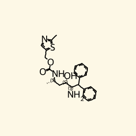 Cc1ncc(COC(=O)N[C@@H](C)C[C@H](O)[C@@H](N)C(c2ccccc2)c2ccccc2)s1